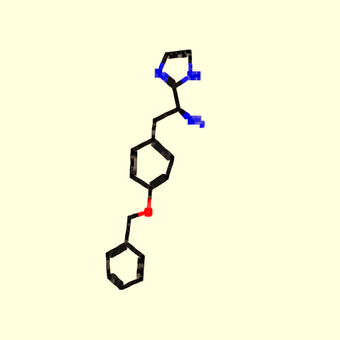 N[C@@H](Cc1ccc(OCc2ccccc2)cc1)c1ncc[nH]1